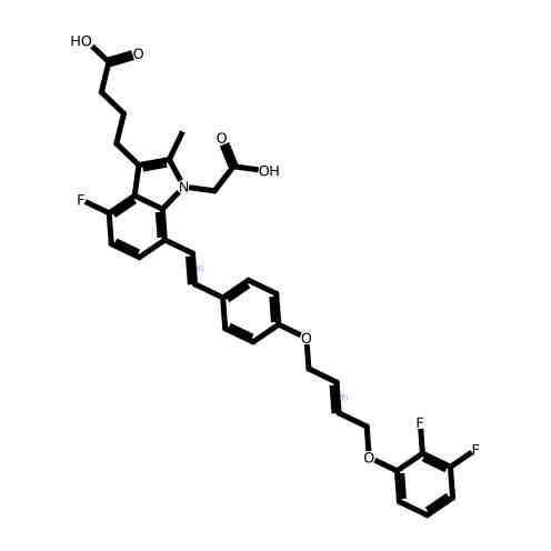 Cc1c(CCCC(=O)O)c2c(F)ccc(/C=C/c3ccc(OC/C=C/COc4cccc(F)c4F)cc3)c2n1CC(=O)O